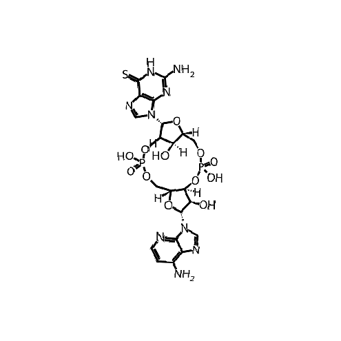 Nc1nc2c(ncn2[C@@H]2O[C@@H]3COP(=O)(O)O[C@H]4[C@@H](O)[C@H](n5cnc6c(N)ccnc65)O[C@@H]4COP(=O)(O)O[C@@H]2[C@@H]3O)c(=S)[nH]1